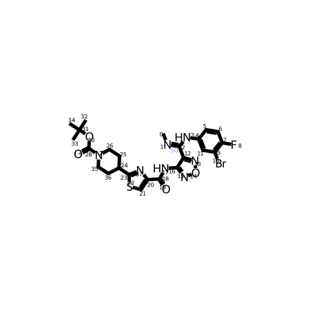 C/N=C(\Nc1ccc(F)c(Br)c1)c1nonc1NC(=O)c1csc(C2CCN(C(=O)OC(C)(C)C)CC2)n1